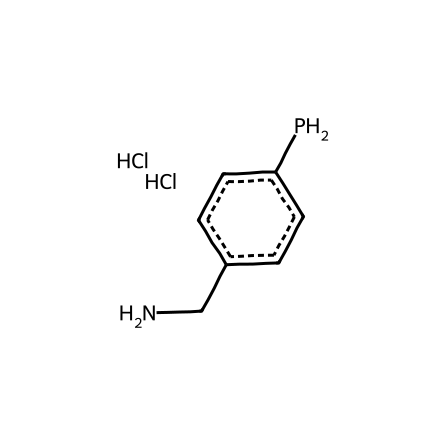 Cl.Cl.NCc1ccc(P)cc1